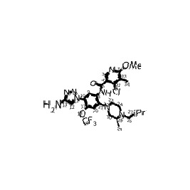 COc1ncc(C(=O)Nc2cc(-n3cc(N)nn3)c(OC(F)(F)F)cc2N2CCN(CC(C)C)[C@@H](C)C2)c(Cl)c1C